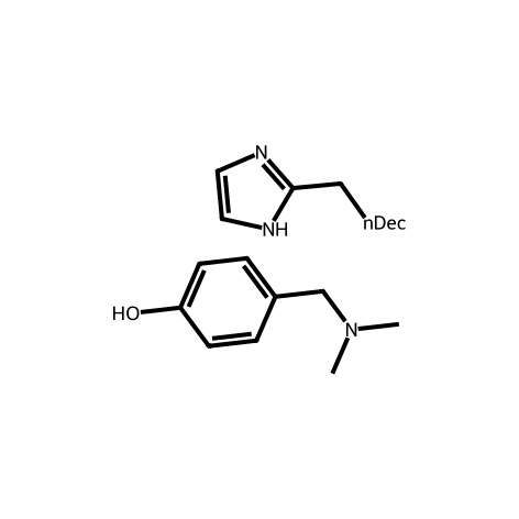 CCCCCCCCCCCc1ncc[nH]1.CN(C)Cc1ccc(O)cc1